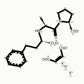 CCOC(=O)[C@H](CCc1ccccc1)N[C@@H](C)C(=O)N1CCC[C@H]1C(=O)[O-].O=C([O-])/C=C\C(=O)[O-].[K+].[K+].[K+]